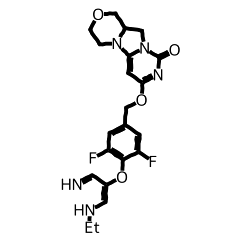 CCN/C=C(\C=N)Oc1c(F)cc(COc2cc3n(c(=O)n2)CC2COCCN32)cc1F